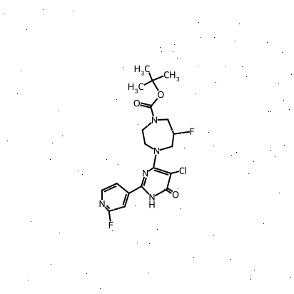 CC(C)(C)OC(=O)N1CCN(c2nc(-c3ccnc(F)c3)[nH]c(=O)c2Cl)CC(F)C1